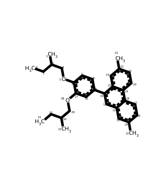 CCC(C)COc1ccc(-c2cc3cc(C)ccc3c3ccc(C)cc23)cc1OCC(C)CC